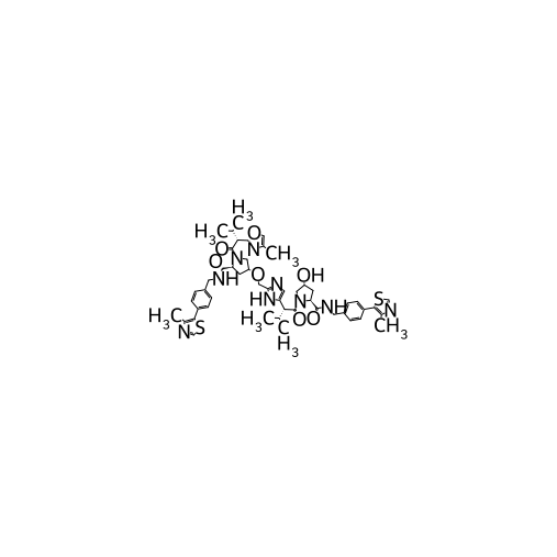 Cc1coc([C@H](C(=O)N2C[C@H](OCc3ncc([C@H](C(=O)N4C[C@H](O)C[C@H]4C(=O)NCc4ccc(-c5scnc5C)cc4)C(C)C)[nH]3)C[C@H]2C(=O)NCc2ccc(-c3scnc3C)cc2)C(C)C)n1